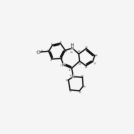 Clc1ccc2c(c1)N=C(N1CCCCC1)C1C=CC=CC1N2